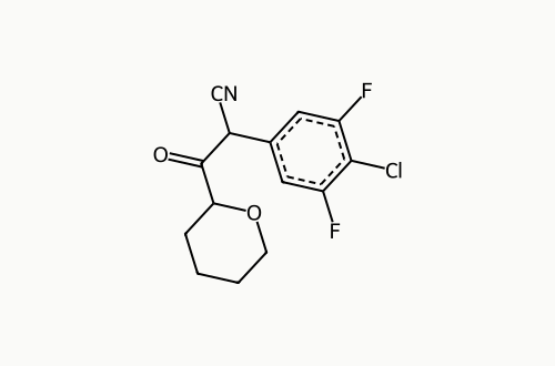 N#CC(C(=O)C1CCCCO1)c1cc(F)c(Cl)c(F)c1